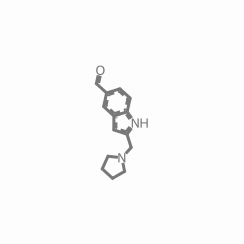 O=Cc1ccc2[nH]c(CN3CCCC3)cc2c1